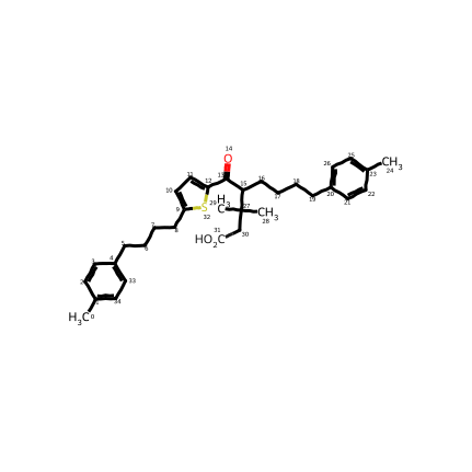 Cc1ccc(CCCCc2ccc(C(=O)C(CCCCc3ccc(C)cc3)C(C)(C)CC(=O)O)s2)cc1